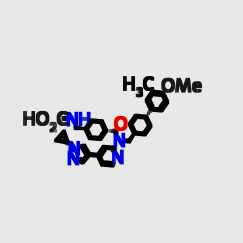 COc1ccc([C@H]2CC[C@H](CN(c3cc(-c4cnn(C5CC5)c4)ccn3)C(=O)[C@H]3CC[C@H](CNC(=O)O)CC3)CC2)cc1C